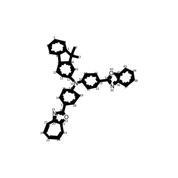 CC1(C)c2ccccc2-c2ccc(N(c3ccc(-c4nc5c(o4)C=C=CC=C5)cc3)c3ccc(-c4nc5ccccc5o4)cc3)cc21